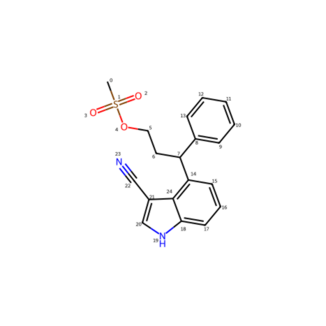 CS(=O)(=O)OCCC(c1ccccc1)c1cccc2[nH]cc(C#N)c12